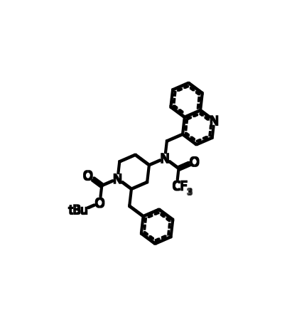 CC(C)(C)OC(=O)N1CCC(N(Cc2ccnc3ccccc23)C(=O)C(F)(F)F)CC1Cc1ccccc1